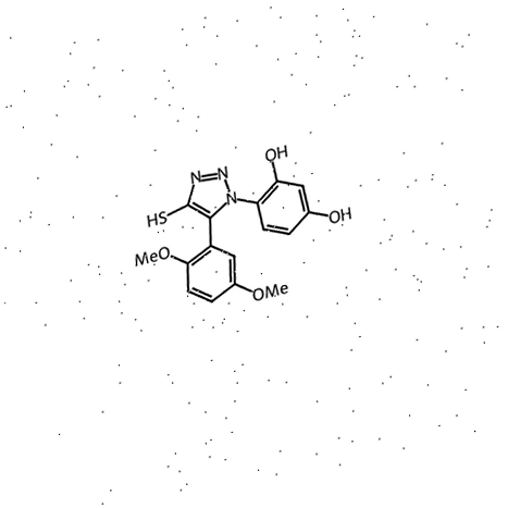 COc1ccc(OC)c(-c2c(S)nnn2-c2ccc(O)cc2O)c1